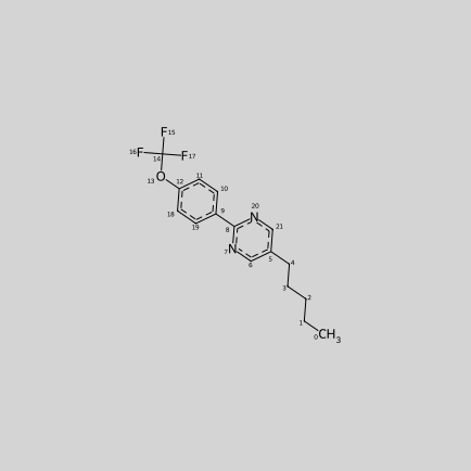 CCCCCc1cnc(-c2ccc(OC(F)(F)F)cc2)nc1